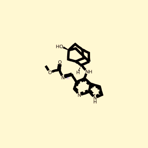 COC(=O)/N=C/c1cnc2[nH]ccc2c1N[C@H]1C2CC3CC1C[C@@](O)(C3)C2